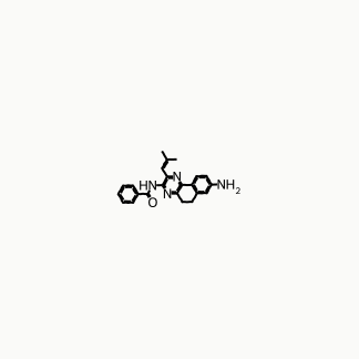 CC(C)=Cc1nc2c(nc1NC(=O)c1ccccc1)CCc1cc(N)ccc1-2